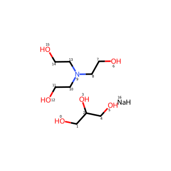 OCC(O)CO.OCCN(CCO)CCO.[NaH]